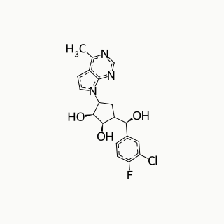 Cc1ncnc2c1ccn2C1CC([C@@H](O)c2ccc(F)c(Cl)c2)[C@@H](O)[C@H]1O